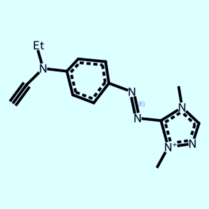 C#CN(CC)c1ccc(/N=N/c2n(C)cn[n+]2C)cc1